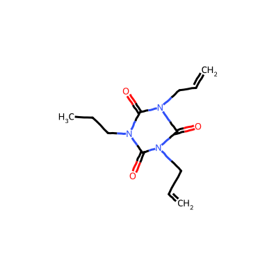 C=CCn1c(=O)n(CC=C)c(=O)n(CCC)c1=O